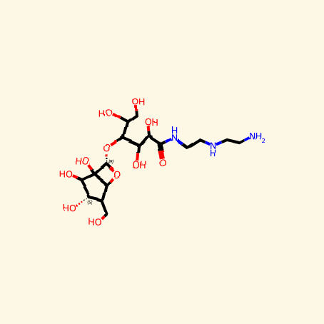 NCCNCCNC(=O)C(O)C(O)C(O[C@@H]1OC2C(CO)[C@H](O)C(O)C21O)C(O)CO